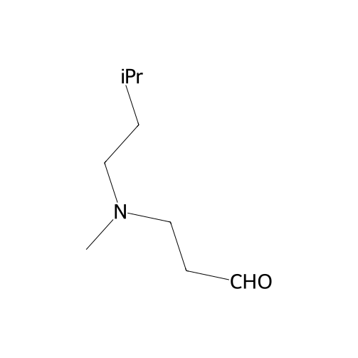 CC(C)CCN(C)CCC=O